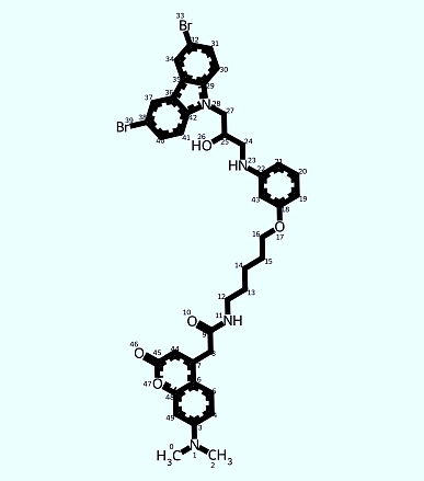 CN(C)c1ccc2c(CC(=O)NCCCCCOc3cccc(NCC(O)Cn4c5ccc(Br)cc5c5cc(Br)ccc54)c3)cc(=O)oc2c1